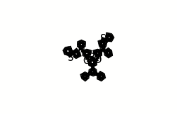 c1ccc(-c2cc(-c3ccccc3)cc(-c3cc4c5c(c3)Oc3cc(N(c6ccccc6)c6ccc7sc8ccccc8c7c6)ccc3B5c3ccc(N(c5ccccc5)c5ccc6sc7ccccc7c6c5)cc3O4)c2)cc1